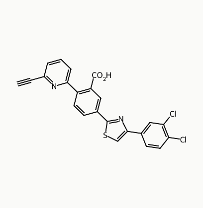 C#Cc1cccc(-c2ccc(-c3nc(-c4ccc(Cl)c(Cl)c4)cs3)cc2C(=O)O)n1